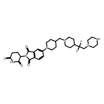 O=C1CCC(N2C(=O)c3ccc(N4CCC(CN5CCC(C(F)(F)CN6CCNCC6)CC5)CC4)cc3C2=O)C(=O)N1